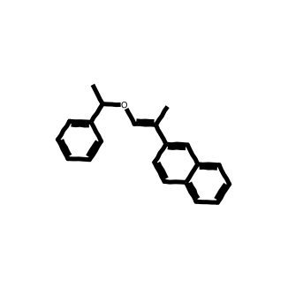 CC(=COC(C)c1ccccc1)c1ccc2ccccc2c1